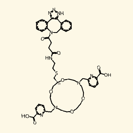 O=C(CCC(=O)N1Cc2ccccc2-c2[nH]nnc2-c2ccccc21)NCCSC[C@@H]1COCCN(Cc2cccc(C(=O)O)n2)CCOCCOCCN(Cc2cccc(C(=O)O)n2)CCO1